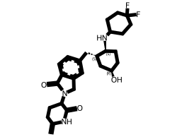 C=C1CCC(N2Cc3cc(C[C@H]4C[C@H](O)CC[C@@H]4NC4CCC(F)(F)CC4)ccc3C2=O)C(=O)N1